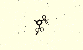 CCOC(=O)c1cc(C)cc(C(=O)N(C)C)c1